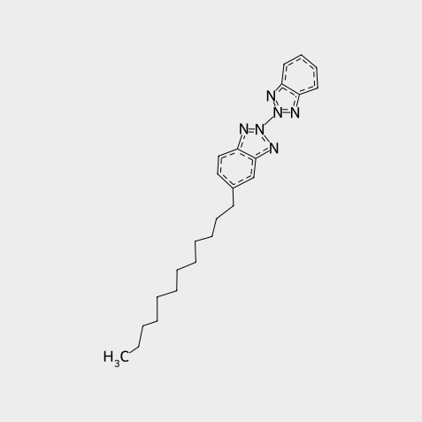 CCCCCCCCCCCCc1ccc2nn(-n3nc4ccccc4n3)nc2c1